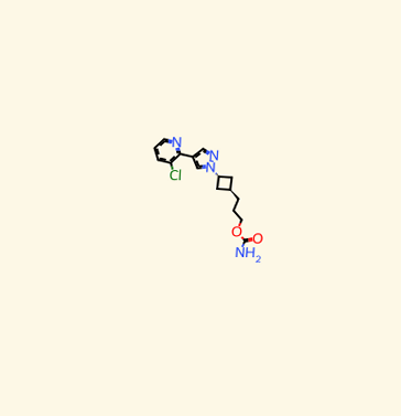 NC(=O)OCCC[C@H]1C[C@H](n2cc(-c3ncccc3Cl)cn2)C1